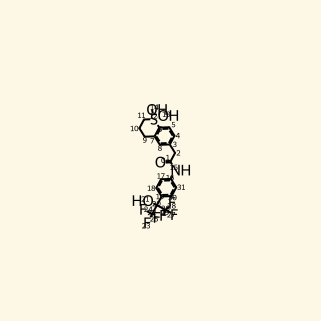 O=C(Cc1ccc2c(c1)CCCS2(O)O)Nc1ccc(C(O)(C(F)(F)F)C(F)(F)F)cc1